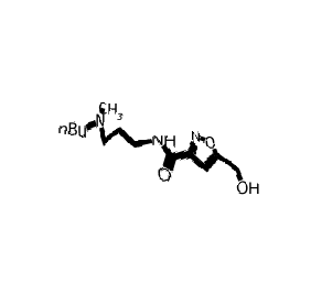 CCCCN(C)CCCNC(=O)c1cc(CO)on1